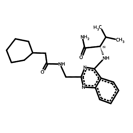 CC(C)[C@H](Nc1nc(CNC(=O)CC2CCCCC2)nc2ccccc12)C(N)=O